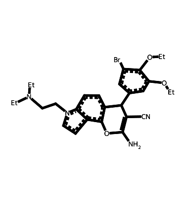 CCOc1cc(C2C(C#N)=C(N)Oc3c2ccc2c3ccn2CCN(CC)CC)cc(Br)c1OCC